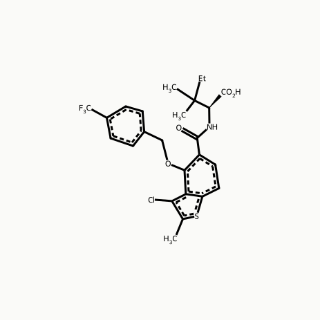 CCC(C)(C)[C@H](NC(=O)c1ccc2sc(C)c(Cl)c2c1OCc1ccc(C(F)(F)F)cc1)C(=O)O